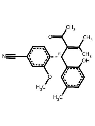 COc1cc(C#N)ccc1[C@H](C(C(C)=O)=C(C)C)c1cc(C)ccc1O